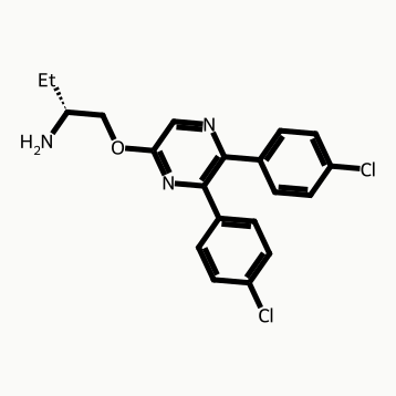 CC[C@@H](N)COc1cnc(-c2ccc(Cl)cc2)c(-c2ccc(Cl)cc2)n1